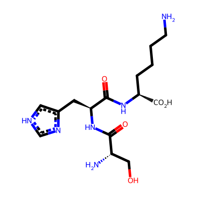 NCCCC[C@H](NC(=O)[C@H](Cc1c[nH]cn1)NC(=O)[C@@H](N)CO)C(=O)O